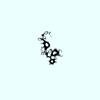 CCOC(=O)c1ccc(NC(=O)CC2c3ccccc3Sc3ccccc32)cc1